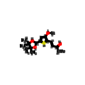 CCOc1cc(B2OC(C)(C)C(C)(C)O2)sc1/C=C/C(=O)OC